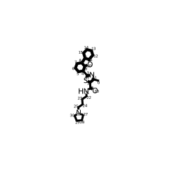 Cc1nc(-c2cccc3c2oc2ccccc23)sc1C(=O)NCCCCN1CCCC1